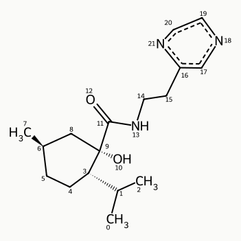 CC(C)[C@@H]1CC[C@@H](C)C[C@@]1(O)C(=O)NCCc1cnccn1